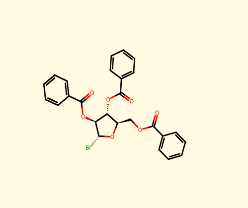 O=C(OC[C@H]1O[C@H](Br)[C@@H](OC(=O)c2ccccc2)[C@@H]1OC(=O)c1ccccc1)c1ccccc1